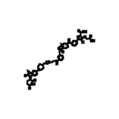 Cn1c(=O)n(C2CCC(=O)NC2=O)c2ccc(N3CCC(CCNCCNc4cccc(CS(=O)(=O)N5CC[C@H](Nc6cccc(-c7sc(C(=O)O)c(OCC(=O)O)c7Cl)c6)CC5(C)C)c4)CC3)cc21